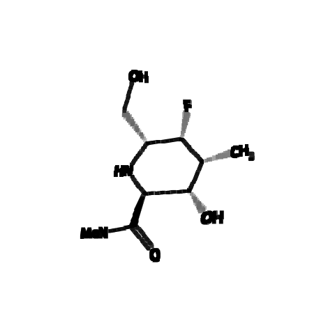 CNC(=O)[C@H]1N[C@H](CO)[C@H](F)[C@H](C)[C@@H]1O